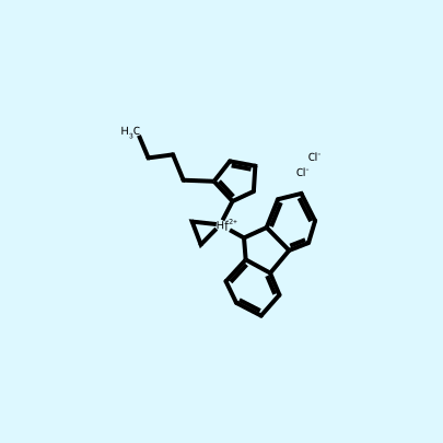 CCCCC1=[C]([Hf+2]2([CH]3c4ccccc4-c4ccccc43)[CH2][CH2]2)CC=C1.[Cl-].[Cl-]